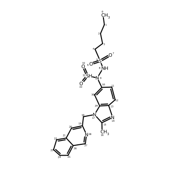 CCCCCS(=O)(=O)NN(c1ccc2nc(C)n(Cc3cc4ccccc4cn3)c2c1)[SH](=O)=O